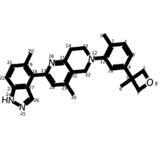 Cc1ccc(C2(C)COC2)cc1N1CCc2nc(-c3c(C)ccc4[nH]ncc34)cc(C)c2C1